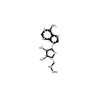 CSNC[C@H]1O[C@@H](n2cnc3c(N)ncnc32)[C@H](O)[C@@H]1O